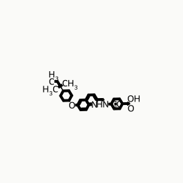 CCC(C)(C)[C@H]1CC[C@H](Oc2ccc3nc(CNC45CCC(C(=O)O)(CC4)CC5)ccc3c2)CC1